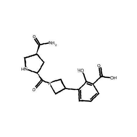 NC(=O)[C@@H]1CN[C@H](C(=O)N2CC(c3cccc(C(=O)O)c3O)C2)C1